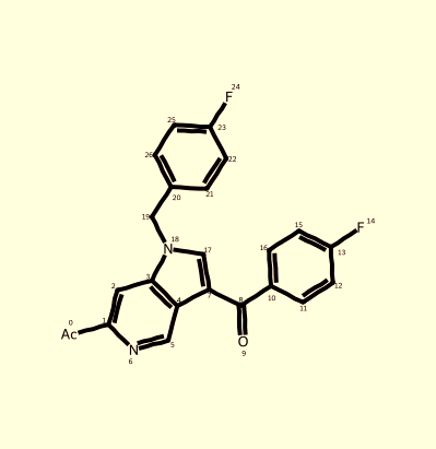 CC(=O)c1cc2c(cn1)c(C(=O)c1ccc(F)cc1)cn2Cc1ccc(F)cc1